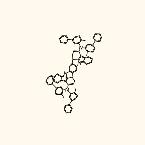 Cc1ccc(-c2ccccc2)cc1N(C1=CCC2c3cc4c(cc3-n3c2c1c1ccccc13)C1CC=C(N(c2cc(-c3ccccc3)ccc2C)c2cc(-c3ccccc3)ccc2C)c2c1n-4c1ccccc21)c1cc(-c2ccccc2)ccc1C